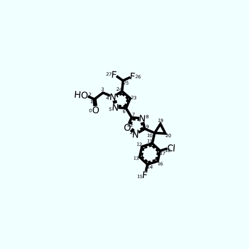 O=C(O)Cn1nc(-c2nc(C3(c4ccc(F)cc4Cl)CC3)no2)cc1C(F)F